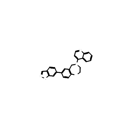 c1ccc2c(N3CCOc4ccc(-c5ccc6cn[nH]c6c5)cc4C3)ccnc2c1